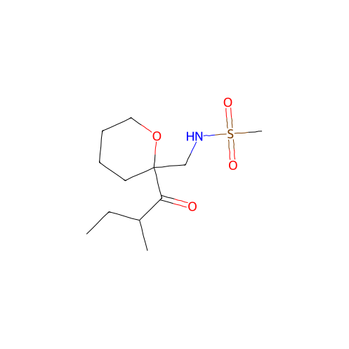 CCC(C)C(=O)C1(CNS(C)(=O)=O)CCCCO1